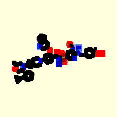 CC1CN(C2CC3(CCN(c4ccc(C(=O)NS(=O)(=O)c5cnc(NC[C@H]6CC[C@](C)(O)CC6)c(N=O)c5)c(Oc5cnc6c(c5)C=CC6)c4)CC3)C2)[C@@H](c2ccccc2C2CC2)CO1